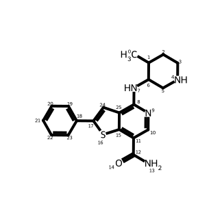 CC1CCNCC1Nc1ncc(C(N)=O)c2sc(-c3ccccc3)cc12